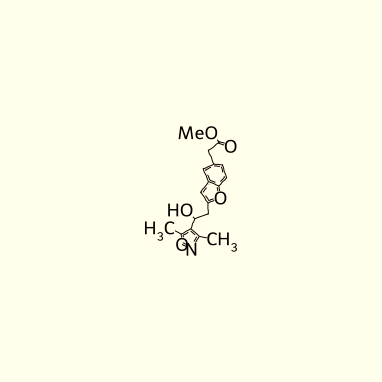 COC(=O)Cc1ccc2oc(CC(O)c3c(C)noc3C)cc2c1